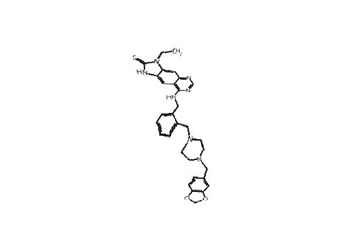 CCn1c(=S)[nH]c2cc3c(NCc4ccccc4CN4CCN(Cc5ccc6c(c5)OCO6)CC4)ncnc3cc21